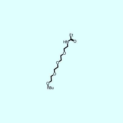 CCCCOCCOCCOCCOCCNC(=O)CC